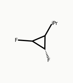 CC(C)C1C(F)[C@H]1F